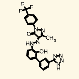 CC1=NN(c2ccc(C(F)(F)F)cc2)C(=O)/C1=N\Nc1cccc(-c2cccc(-c3nnn[nH]3)c2)c1O